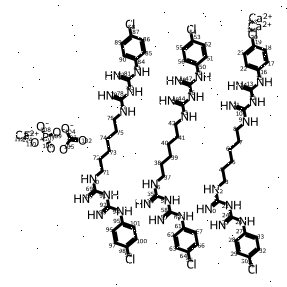 N=C(NCCCCCCNC(=N)NC(=N)Nc1ccc(Cl)cc1)NC(=N)Nc1ccc(Cl)cc1.N=C(NCCCCCCNC(=N)NC(=N)Nc1ccc(Cl)cc1)NC(=N)Nc1ccc(Cl)cc1.N=C(NCCCCCCNC(=N)NC(=N)Nc1ccc(Cl)cc1)NC(=N)Nc1ccc(Cl)cc1.O=C([O-])[O-].O=P([O-])([O-])[O-].[Ca+2].[Ca+2].[Ca+2].[F-]